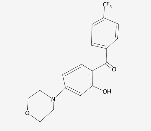 O=C(c1ccc(C(F)(F)F)cc1)c1ccc(N2CCOCC2)cc1O